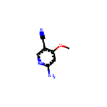 COc1cc(N)ncc1C#N